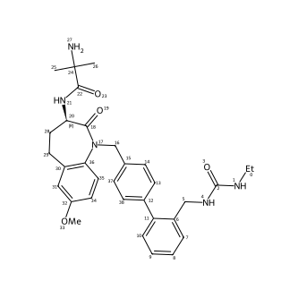 CCNC(=O)NCc1ccccc1-c1ccc(CN2C(=O)[C@H](NC(=O)C(C)(C)N)CCc3cc(OC)ccc32)cc1